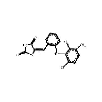 Cc1ccc(Cl)c(Nc2ccccc2/C=C2/SC(=O)NC2=O)c1Cl